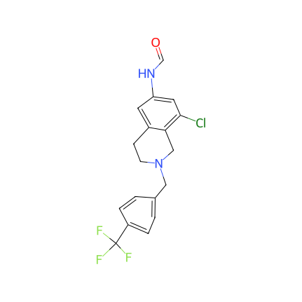 O=CNc1cc(Cl)c2c(c1)CCN(Cc1ccc(C(F)(F)F)cc1)C2